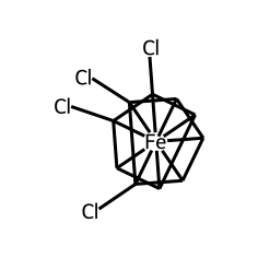 Cl[C]12[CH]3[CH]4[CH]5[C]1(Cl)[Fe]43521678[CH]2[CH]1[C]6(Cl)[C]7(Cl)[CH]28